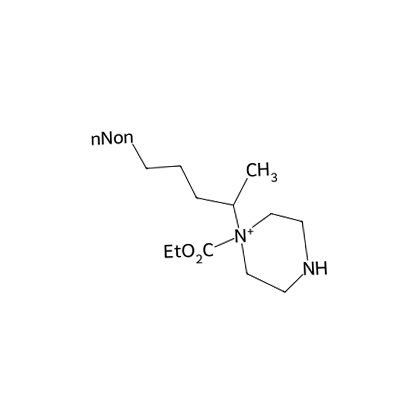 CCCCCCCCCCCCC(C)[N+]1(C(=O)OCC)CCNCC1